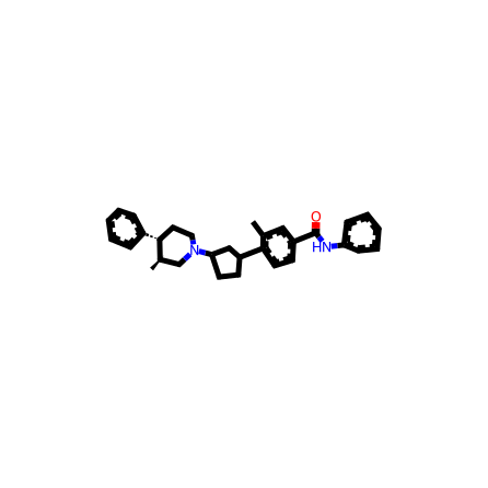 Cc1cc(C(=O)Nc2ccccc2)ccc1C1CCC(N2CC[C@@H](c3ccccc3)[C@H](C)C2)C1